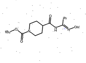 CC(C)/C(=N\O)NC(=O)C1CCN(C(=O)OC(C)(C)C)CC1